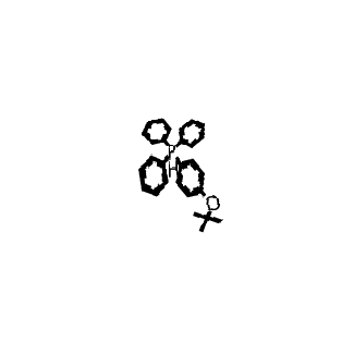 CC(C)(C)Oc1ccc([PH](c2ccccc2)(c2ccccc2)c2ccccc2)cc1